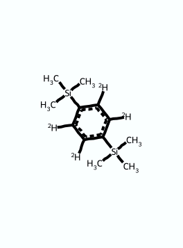 [2H]c1c([2H])c([Si](C)(C)C)c([2H])c([2H])c1[Si](C)(C)C